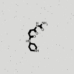 NC(=O)NC(=O)/C=C\C(=O)NC1CCNCC1